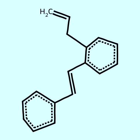 C=CCc1ccccc1C=Cc1ccccc1